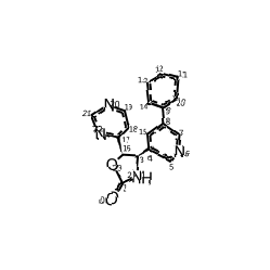 O=C1N[C@H](c2cncc(-c3ccccc3)c2)[C@H](c2ccncn2)O1